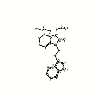 CCOC(=O)O[C@@]12CCCC=C1N(CCc1c[nH]c3ccccc13)C(=O)[C@H]2CC(=O)O